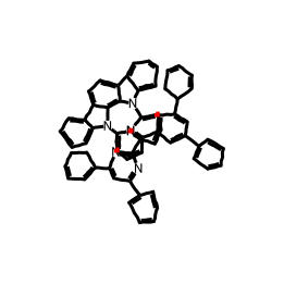 C1=CCCC(c2cc(-c3ccccc3)nc(-c3cccc(-n4c5ccccc5c5ccc6c7ccccc7n(-c7cccc(-c8cc(-c9ccccc9)cc(C9C=CC=CC9)c8)n7)c6c54)n3)n2)=C1